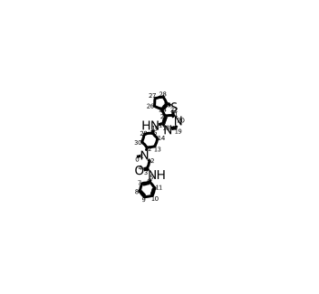 CN(CC(=O)Nc1ccccc1)C1CCC(Nc2ncnc3sc4c(c23)CCC4)CC1